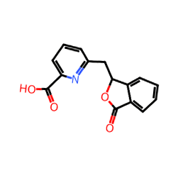 O=C(O)c1cccc(CC2OC(=O)c3ccccc32)n1